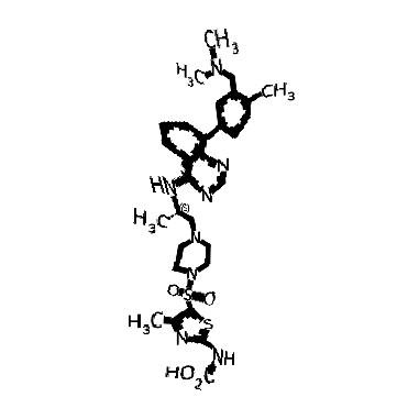 Cc1ccc(-c2cccc3c(N[C@@H](C)CN4CCN(S(=O)(=O)c5sc(NC(=O)O)nc5C)CC4)ncnc23)cc1CN(C)C